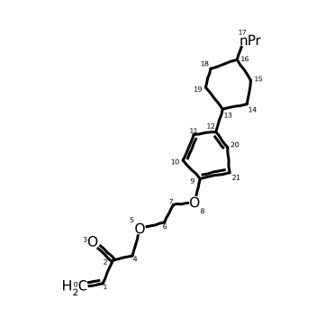 C=CC(=O)COCCOc1ccc(C2CCC(CCC)CC2)cc1